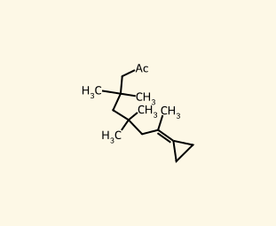 CC(=O)CC(C)(C)CC(C)(C)CC(C)=C1CC1